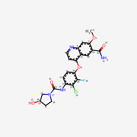 COc1cc2nccc(Oc3ccc(NC(=O)N4CC[C@@H](O)C4)c(Cl)c3F)c2cc1C(N)=O